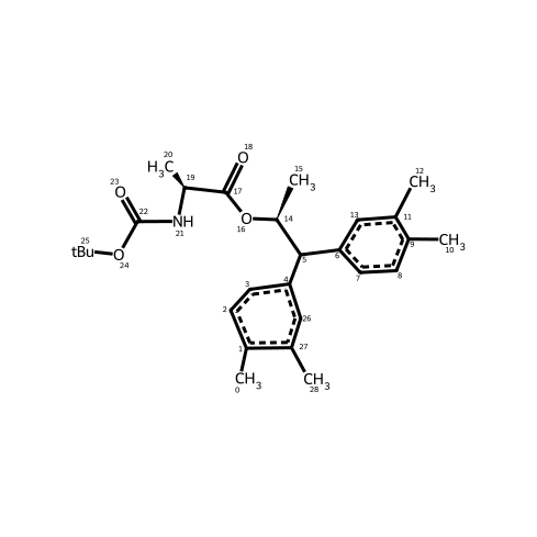 Cc1ccc(C(c2ccc(C)c(C)c2)[C@H](C)OC(=O)[C@H](C)NC(=O)OC(C)(C)C)cc1C